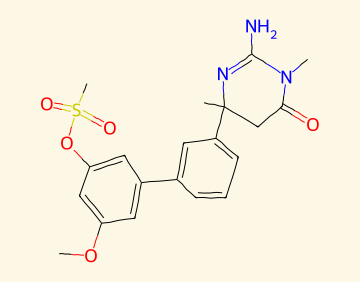 COc1cc(OS(C)(=O)=O)cc(-c2cccc(C3(C)CC(=O)N(C)C(N)=N3)c2)c1